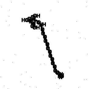 Cc1nnc(-c2ccc(OCCOCCOCCOCCOCCOCCOCCOCCOCCOCCOCCOCCCNc3ccc(CC4CN(CC(=O)O)CCN(CC(=O)O)CCN4CC(=O)O)cc3)cc2)nn1